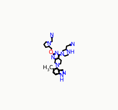 Cc1ccc2[nH]ncc2c1N1CCc2c(nc(OCC3CCCN3CC#N)nc2N2CCNC(CC#N)C2)C1